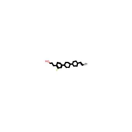 CCC/C=C/C1CCC(C2CCC(c3ccc(CCCO)c(F)c3)CC2)CC1